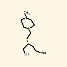 CN1CCN(CC[C@@H](CO)CCC(C)(C)C)CC1